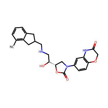 N#Cc1cccc2c1CC(CNCC(O)[C@@H]1CN(c3ccc4c(c3)NC(=O)CO4)C(=O)O1)C2